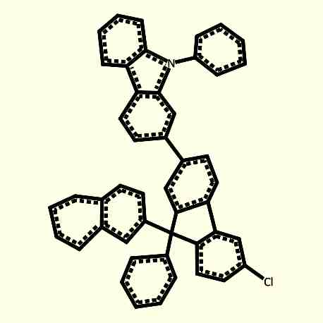 Clc1ccc2c(c1)-c1ccc(-c3ccc4c5ccccc5n(-c5ccccc5)c4c3)cc1C2(c1ccccc1)c1ccc2ccccc2c1